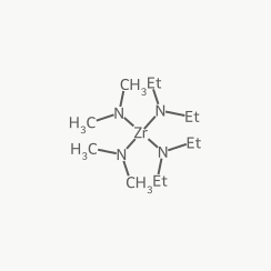 CC[N](CC)[Zr]([N](C)C)([N](C)C)[N](CC)CC